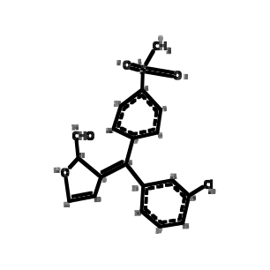 CS(=O)(=O)c1ccc(C(=C2C=COC2C=O)c2cccc(Cl)c2)cc1